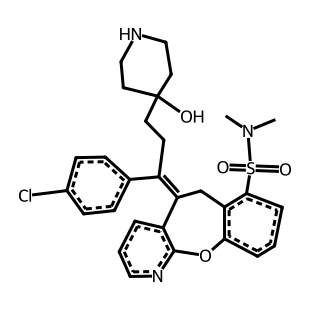 CN(C)S(=O)(=O)c1cccc2c1CC(=C(CCC1(O)CCNCC1)c1ccc(Cl)cc1)c1cccnc1O2